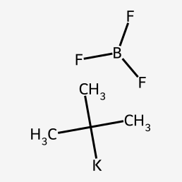 C[C](C)(C)[K].FB(F)F